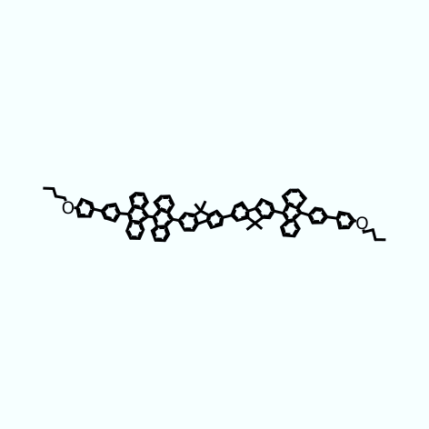 CCCCOc1ccc(-c2ccc(-c3c4ccccc4c(-c4ccc5c(c4)C(C)(C)c4cc(-c6ccc7c(c6)C(C)(C)c6cc(-c8c9ccccc9c(-c9c%10ccccc%10c(-c%10ccc(-c%11ccc(OCCCC)cc%11)cc%10)c%10ccccc9%10)c9ccccc89)ccc6-7)ccc4-5)c4ccccc34)cc2)cc1